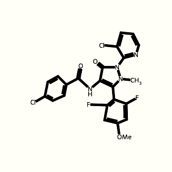 COc1cc(F)c(-c2c(NC(=O)c3ccc(Cl)cc3)c(=O)n(-c3ncccc3Cl)n2C)c(F)c1